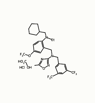 CCN(CC1CCCCC1)c1ccc(OC(F)(F)F)cc1CN(Cc1cc(C(F)(F)F)cc(C(F)(F)F)c1)c1noc(C)n1.Cl.O=C(O)O